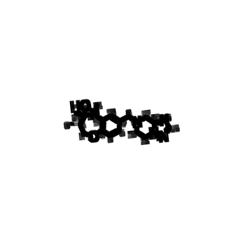 C[C@H]1COc2ccc(CN3CCn4ncnc4C3)cc2N(C)C1(C)O